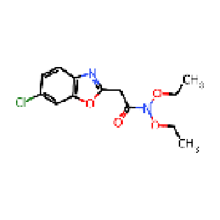 CCON(OCC)C(=O)Cc1nc2ccc(Cl)cc2o1